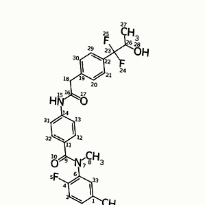 Cc1ccc(F)c(N(C)C(=O)c2ccc(NC(=O)Cc3ccc(C(F)(F)C(C)O)cc3)cc2)c1